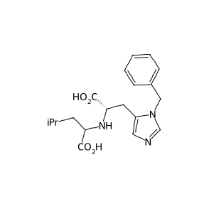 CC(C)CC(N[C@@H](Cc1cncn1Cc1ccccc1)C(=O)O)C(=O)O